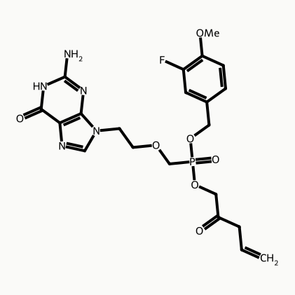 C=CCC(=O)COP(=O)(COCCn1cnc2c(=O)[nH]c(N)nc21)OCc1ccc(OC)c(F)c1